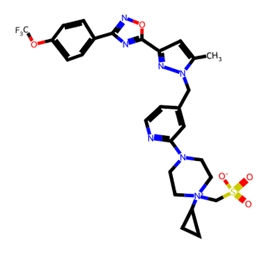 Cc1cc(-c2nc(-c3ccc(OC(F)(F)F)cc3)no2)nn1Cc1ccnc(N2CC[N+](CS(=O)(=O)[O-])(C3CC3)CC2)c1